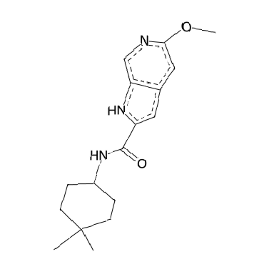 COc1cc2cc(C(=O)NC3CCC(C)(C)CC3)[nH]c2cn1